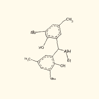 C[CH2][AlH][CH](c1cc(C)cc(C(C)(C)C)c1O)c1cc(C)cc(C(C)(C)C)c1O